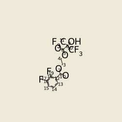 O=C(OCCOC(=O)C(O)(C(F)(F)F)C(F)(F)F)c1cccc(F)c1F